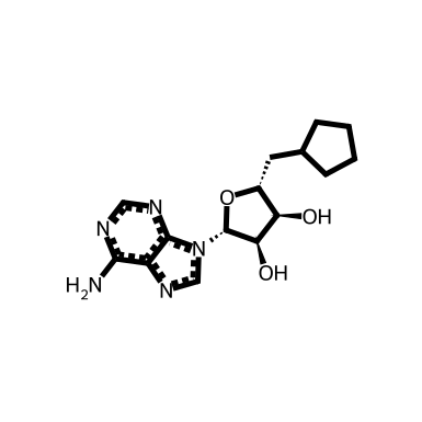 Nc1ncnc2c1ncn2[C@@H]1O[C@H](CC2CCCC2)[C@@H](O)[C@H]1O